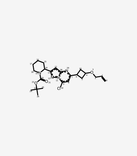 C=CCOC1CC(c2cc(Cl)n3nc(C4CCCCN4C(=O)OC(C)(C)C)cc3n2)C1